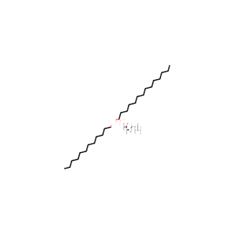 CCCCCCCCCCCCCC(=O)OCCCCCCCCCCCC.[KH].[KH]